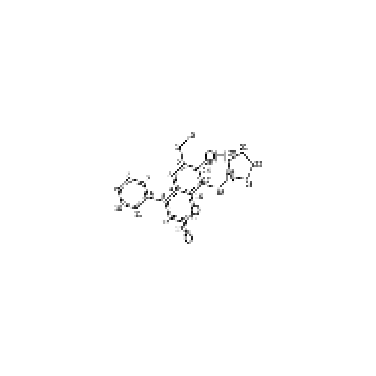 CCc1cc2c(-c3ccccc3)cc(=O)oc2c(CN2CCCC2)c1O